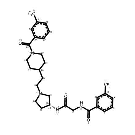 O=C(CNC(=O)c1cccc(C(F)(F)F)c1)N[C@@H]1CCN(CCC2CCN(C(=O)c3cccc(C(F)(F)F)c3)CC2)C1